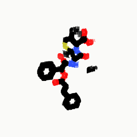 CC1=C(C(=O)[O-])N2C(=O)C(NC(=O)C(OC(=O)/C=C/c3ccccc3)c3ccccc3)[C@H]2SC1.[Na+]